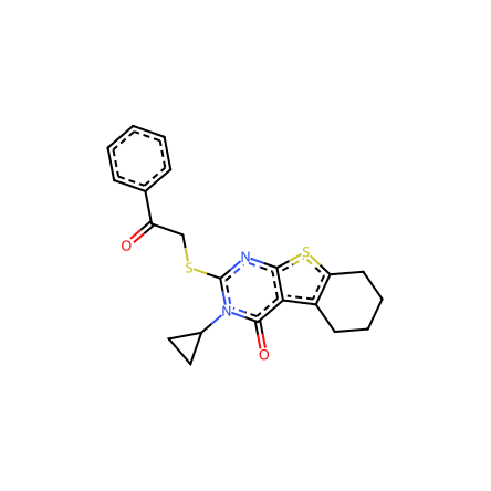 O=C(CSc1nc2sc3c(c2c(=O)n1C1CC1)CCCC3)c1ccccc1